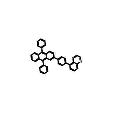 c1ccc(-c2c3ccccc3c(-c3ccccc3)c3cc(-c4ccc(-c5cccc6nccnc56)cc4)ccc23)cc1